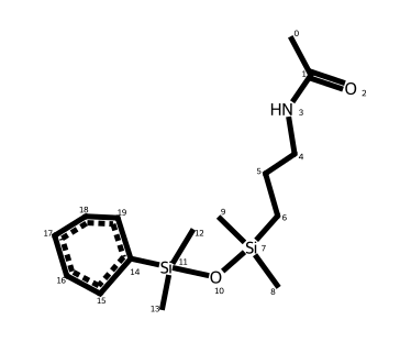 CC(=O)NCCC[Si](C)(C)O[Si](C)(C)c1ccccc1